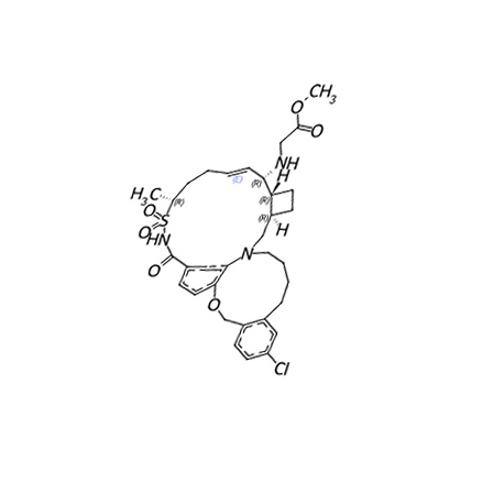 COC(=O)CN[C@H]1/C=C/CC[C@@H](C)S(=O)(=O)NC(=O)c2ccc3c(c2)N(CCCCc2cc(Cl)ccc2CO3)C[C@@H]2CC[C@H]21